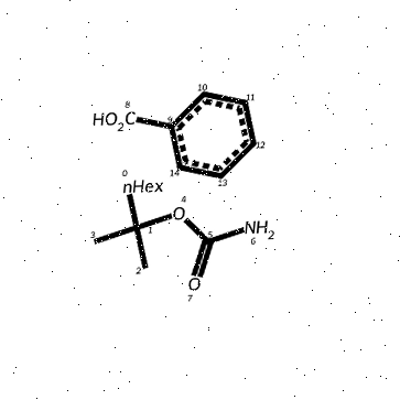 CCCCCCC(C)(C)OC(N)=O.O=C(O)c1ccccc1